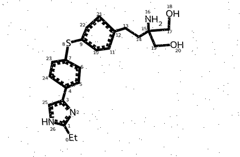 CCc1nc(-c2ccc(Sc3ccc(CCC(N)(CO)CO)cc3)cc2)c[nH]1